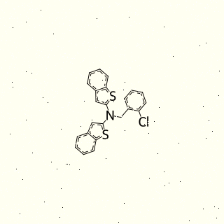 Clc1ccccc1CN(c1cc2ccccc2s1)c1cc2ccccc2s1